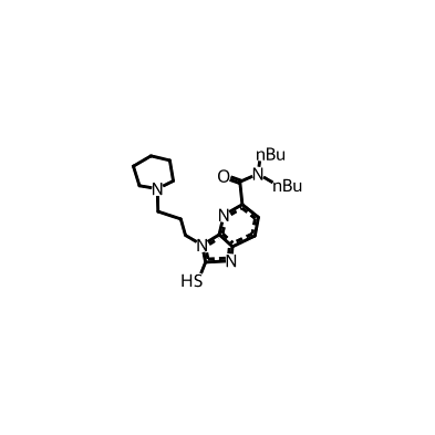 CCCCN(CCCC)C(=O)c1ccc2nc(S)n(CCCN3CCCCC3)c2n1